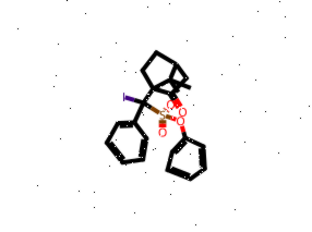 CC1(C)C2CCC1(C(I)(c1ccccc1)S(=O)(=O)Oc1ccccc1)C(=O)C2